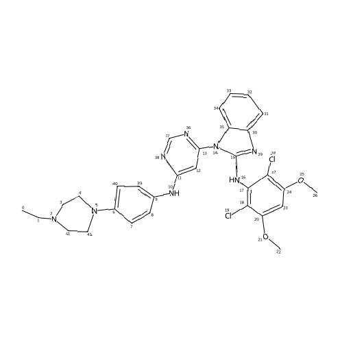 CCN1CCN(c2ccc(Nc3cc(-n4c(Nc5c(Cl)c(OC)cc(OC)c5Cl)nc5ccccc54)ncn3)cc2)CC1